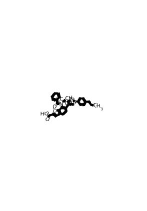 CCCc1ccc(-n2cc(-c3ccc4cc(C(=O)O)oc4c3N(C(=O)c3ccccc3)C(C)(C)C)cn2)cc1